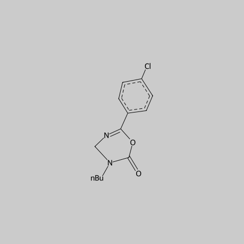 CCCCN1CN=C(c2ccc(Cl)cc2)OC1=O